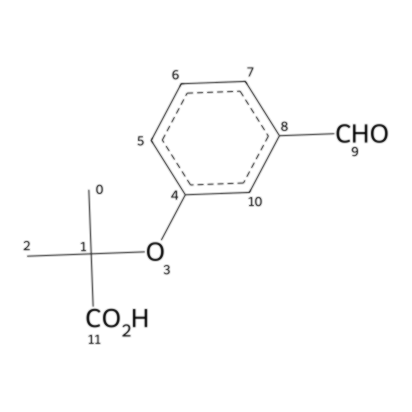 CC(C)(Oc1cccc(C=O)c1)C(=O)O